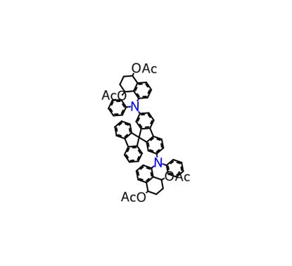 CC(=O)OC1CCC(OC(C)=O)c2c1cccc2N(c1ccccc1)c1ccc2c(c1)C1(c3ccccc3-c3ccccc31)c1cc(N(c3ccccc3)c3cccc4c3C(OC(C)=O)CCC4OC(C)=O)ccc1-2